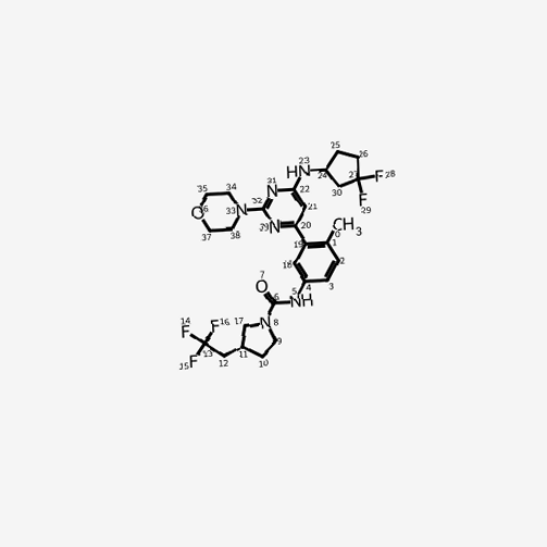 Cc1ccc(NC(=O)N2CC[C@@H](CC(F)(F)F)C2)cc1-c1cc(NC2CCC(F)(F)C2)nc(N2CCOCC2)n1